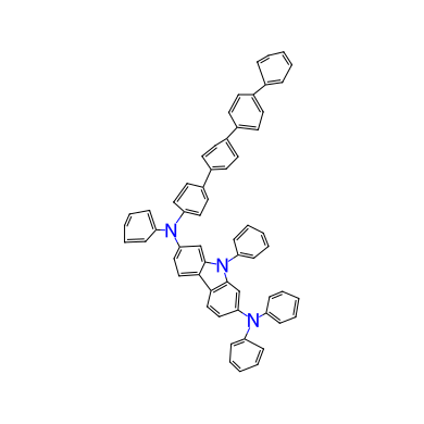 c1ccc(-c2ccc(-c3ccc(-c4ccc(N(c5ccccc5)c5ccc6c7ccc(N(c8ccccc8)c8ccccc8)cc7n(-c7ccccc7)c6c5)cc4)cc3)cc2)cc1